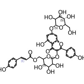 O=C(/C=C/c1ccc(O)cc1)OCC1O[C@@H](Oc2c(-c3ccc(O)cc3)oc3cc(O[C@@H]4OC(CO)[C@@H](O)[C@H](O)C4O)cc(O)c3c2=O)C(O)C(O)[C@@H]1O